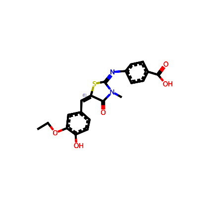 CCOc1cc(/C=C2/SC(=Nc3ccc(C(=O)O)cc3)N(C)C2=O)ccc1O